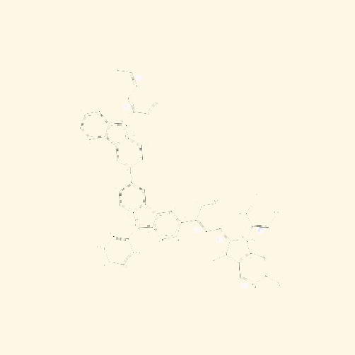 C=C/C(=C\C=C/C)n1c2ccccc2c2cc(-c3ccc4c(c3)c3cc(/C(=C/C=C5\C(C)C(/C=C\CC)=C(C)N5/C(C=P)=C/C)CC)ccc3n4C3=CCCC=C3)ccc21